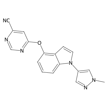 Cn1cc(-n2ccc3c(Oc4cc(C#N)ncn4)cccc32)cn1